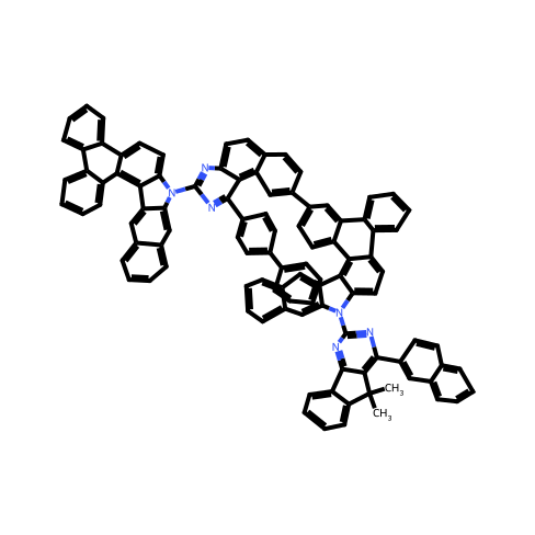 CC1(C)c2ccccc2-c2nc(-n3c4cc5ccccc5cc4c4c5c(ccc43)c3ccccc3c3cc(-c4ccc6ccc7nc(-n8c9cc%10ccccc%10cc9c9c%10c%11ccccc%11c%11ccccc%11c%10ccc98)nc(-c8ccc(-c9ccccc9)cc8)c7c6c4)ccc35)nc(-c3ccc4ccccc4c3)c21